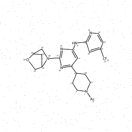 CC(=O)N1CCC(c2cc(Nc3cc(C(F)(F)F)ccn3)nc(N3CC4CC3CO4)n2)CC1